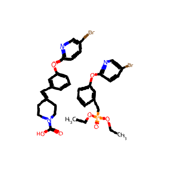 CCOP(=O)(Cc1cccc(Oc2ccc(Br)cn2)c1)OCC.O=C(O)N1CCC(=Cc2cccc(Oc3ccc(Br)cn3)c2)CC1